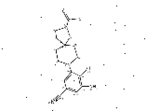 CC(=O)N1CCC2(CCN(c3cc(C#N)cc(N)c3Cl)CC2)C1